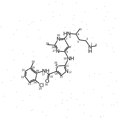 CNCCC(C)Nc1cc(Nc2ncc(C(=O)Nc3c(C)cccc3Cl)s2)nc(C)n1